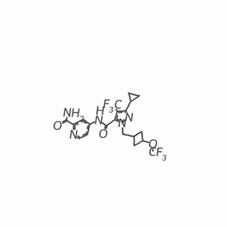 NC(=O)c1cc(NC(=O)c2c(C(F)(F)F)c(C3CC3)nn2CC2CC(OC(F)(F)F)C2)ccn1